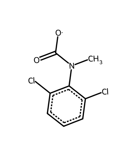 CN(C([O])=O)c1c(Cl)cccc1Cl